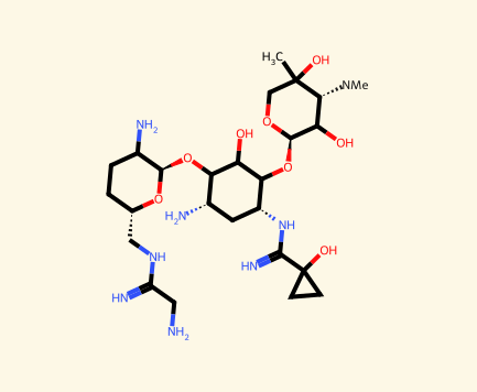 CN[C@@H]1C(O)[C@@H](OC2C(O)C(O[C@H]3O[C@H](CNC(=N)CN)CCC3N)[C@@H](N)C[C@H]2NC(=N)C2(O)CC2)OCC1(C)O